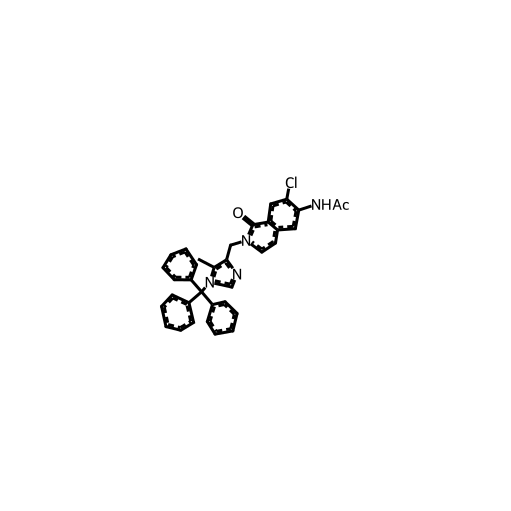 CC(=O)Nc1cc2ccn(Cc3ncn(C(c4ccccc4)(c4ccccc4)c4ccccc4)c3C)c(=O)c2cc1Cl